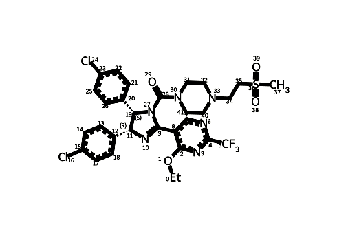 CCOc1nc(C(F)(F)F)ncc1C1=N[C@H](c2ccc(Cl)cc2)[C@H](c2ccc(Cl)cc2)N1C(=O)N1CCN(CCS(C)(=O)=O)CC1